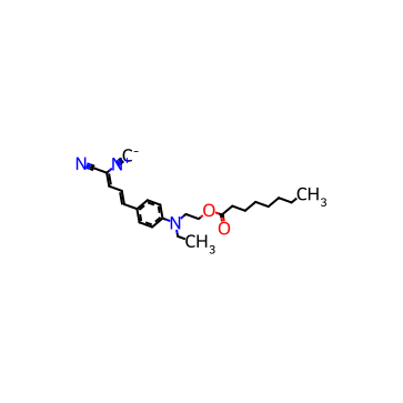 [C-]#[N+]/C(C#N)=C\C=C\c1ccc(N(CC)CCOC(=O)CCCCCCC)cc1